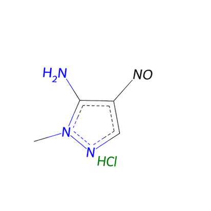 Cl.Cn1ncc(N=O)c1N